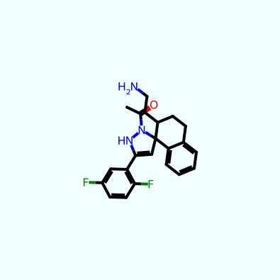 CC(=O)N1NC(c2cc(F)ccc2F)=CC12c1ccccc1CCC2CCN